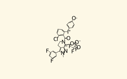 COc1ccc([I+]c2cccc(Cl)c2C(=O)N2CCc3c(nn(C)c3-c3cc(F)cc(F)c3)[C@@H]2C)cc1.O=S(=O)([O-])C(F)(F)F